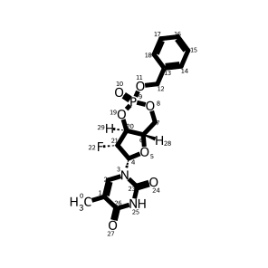 Cc1cn([C@H]2O[C@H]3COP(=O)(OCc4ccccc4)O[C@@H]3[C@H]2F)c(=O)[nH]c1=O